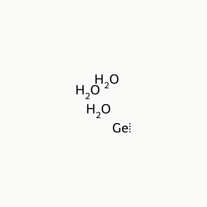 O.O.O.[Ge]